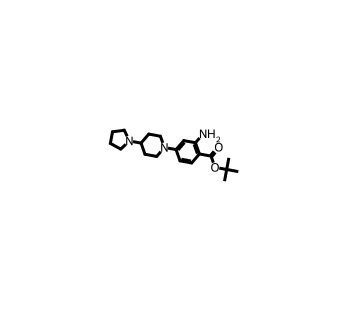 CC(C)(C)OC(=O)c1ccc(N2CCC(N3CCCC3)CC2)cc1N